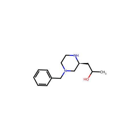 CC(O)C[C@H]1CN(Cc2ccccc2)CCN1